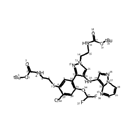 CC(C)(C)OC(=O)NCCSc1cc(-c2nn(CCNC(=O)OC(C)(C)C)cc2Nc2cnn3cccnc23)c(OC(F)F)cc1Cl